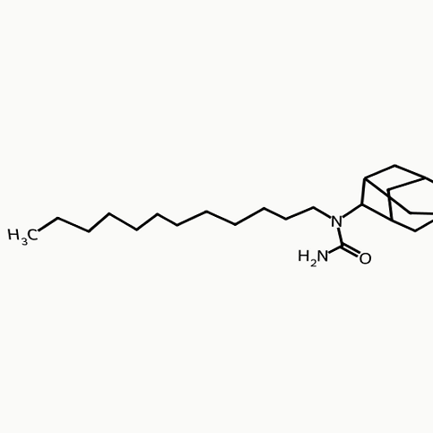 CCCCCCCCCCCCN(C(N)=O)C1C2CC3CC(C2)CC1C3